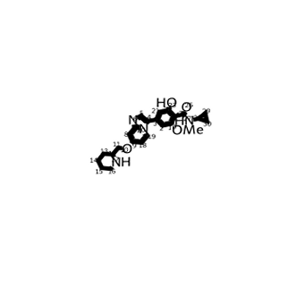 COc1cc(-c2cnc3cc(OCC4CCCCN4)ccn23)cc(O)c1C(=O)NC1CC1